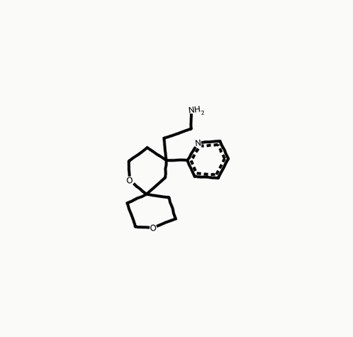 NCCC1(c2ccccn2)CCOC2(CCOCC2)C1